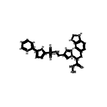 O=C(NO)[C@H](Cc1ccc2c(c1)OCO2)n1cc(CNS(=O)(=O)c2ccc(-c3ccccn3)s2)nn1